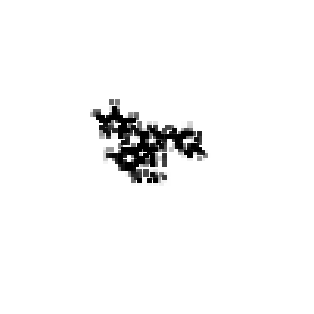 CNc1cc(F)cc2c1[nH]c1nc(Oc3cnc(C)nc3)nc(N3CC(=C(C)C(C)N)C3)c12